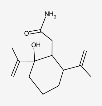 C=C(C)C1CCCC(O)(C(=C)C)C1CC(N)=O